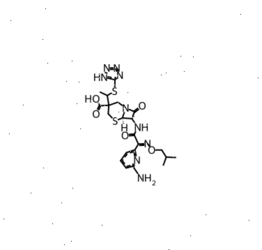 CC(C)CON=C(C(=O)NC1C(=O)N2CC(C(=O)O)(C(C)Sc3nnn[nH]3)CS[C@H]12)c1cccc(N)n1